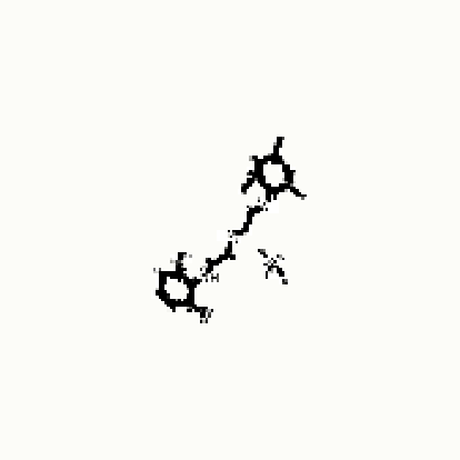 Cc1cc(C)c(NCCNCCNc2c(C(C)C)cccc2C(C)C)c(C)c1.[Br-].[Br-].[Co+2]